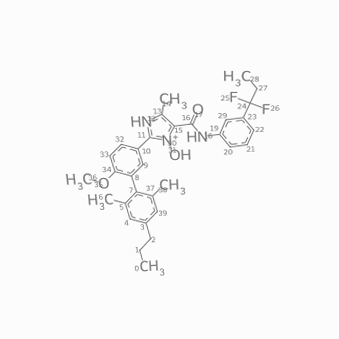 CCCc1cc(C)c(-c2cc(-c3[nH]c(C)c(C(=O)Nc4cccc(C(F)(F)CC)c4)[n+]3O)ccc2OC)c(C)c1